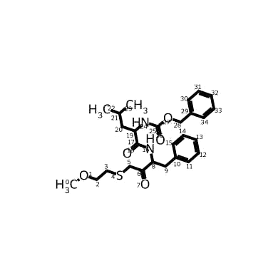 COCCSCC(=O)C(Cc1ccccc1)NC(=O)C(CC(C)C)NC(=O)OCc1ccccc1